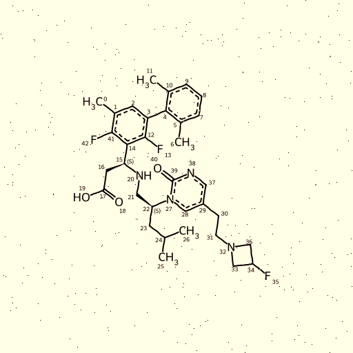 Cc1cc(-c2c(C)cccc2C)c(F)c([C@H](CC(=O)O)NC[C@H](CC(C)C)n2cc(CCN3CC(F)C3)cnc2=O)c1F